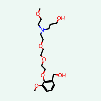 COCCN(CCCO)CCOCCOCCOc1c(CO)cccc1OC